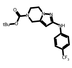 CC(C)(C)OC(=O)N1CCn2nc(Nc3ccc(C(F)(F)F)cc3)cc2C1